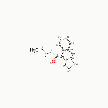 C=CCCC(=O)c1c2c(cc3ccccc13)CCC2